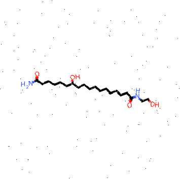 NC(=O)CCCCCC(O)CCCCCCCCCCC(=O)NCCO